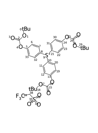 CC(C)(C)OC(=O)Oc1ccc([S+](c2ccc(OC(=O)OC(C)(C)C)cc2)c2ccc(OC(=O)OC(C)(C)C)cc2)cc1.O=S(=O)([O-])CC(F)(F)F